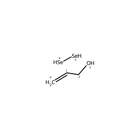 C=CCO.[SeH][SeH]